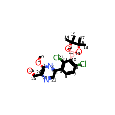 COc1nc(-c2ccc(Cl)c(B3OC(C)(C)C(C)(C)O3)c2Cl)cnc1C=O